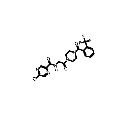 O=C(NCC(=O)N1CCN(C(=O)c2ccccc2C(F)(F)F)CC1)c1cnc(Cl)cn1